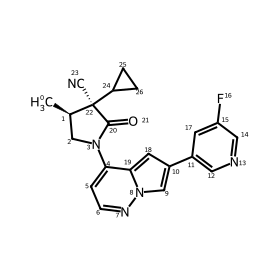 C[C@@H]1CN(c2ccnn3cc(-c4cncc(F)c4)cc23)C(=O)[C@]1(C#N)C1CC1